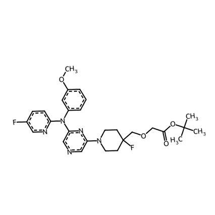 COc1cccc(N(c2ccc(F)cn2)c2cncc(N3CCC(F)(COCC(=O)OC(C)(C)C)CC3)n2)c1